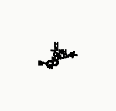 CC(=N)OC(=N)N(COCC[Si](C)(C)C)c1ccc2ncc(Br)cc2n1